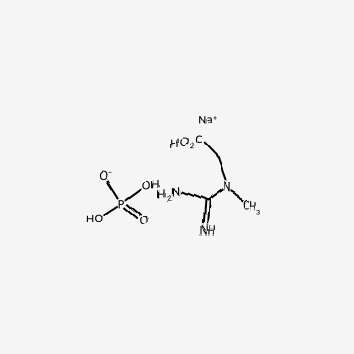 CN(CC(=O)O)C(=N)N.O=P([O-])(O)O.[Na+]